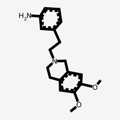 COc1cc2c(cc1OC)CN(CCc1cccc(N)c1)CC2